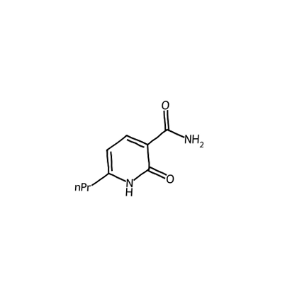 CCCc1ccc(C(N)=O)c(=O)[nH]1